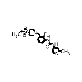 CCS(=O)(=O)N1CCN(Cc2cccc(NC(=O)Nc3ccnc(C)c3)c2F)CC1